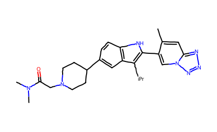 Cc1cc2nnnn2cc1-c1[nH]c2ccc(C3CCN(CC(=O)N(C)C)CC3)cc2c1C(C)C